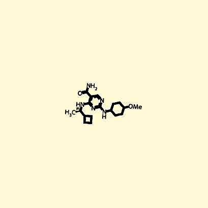 COC1CCC(Nc2ncc(C(N)=O)c(N[C@H](C)C3CCC3)n2)CC1